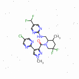 CC1CC(F)(F)CN(C(=O)c2nn(C)cc2-c2ncc(Cl)cn2)C1CNc1ncc(C(F)F)cn1